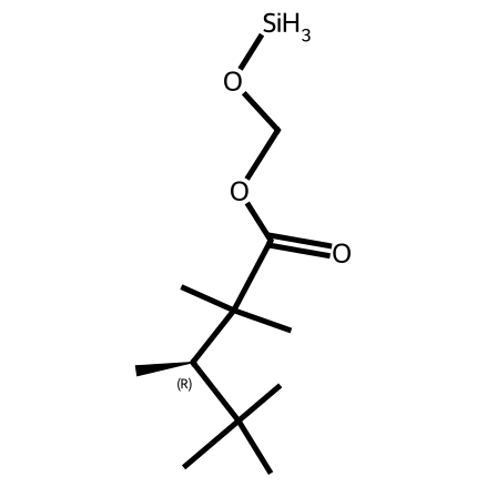 C[C@H](C(C)(C)C)C(C)(C)C(=O)OCO[SiH3]